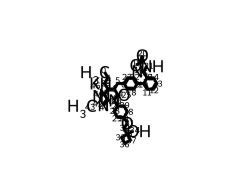 CCCc1c(Cc2ccc(-c3ccccc3-c3noc(=O)[nH]3)cc2)c(=O)n(C2CCC(OCC3(O)CCC3)CC2)c2nc(C)nn12.[KH]